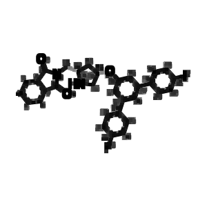 O=C1c2ccccc2C(=O)N1C[C@@H]1C[C@H](Oc2cc(-c3ccc(F)cc3)cc(-c3ccc(F)cc3)c2)CN1